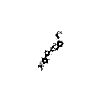 C=CCOc1cccc(Cn2nc(C3NC(c4ccc(OC(F)(F)F)cc4)=NO3)nc2C)c1